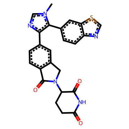 Cn1cnc(-c2ccc3c(c2)CN(C2CCC(=O)NC2=O)C3=O)c1-c1ccc2ncsc2c1